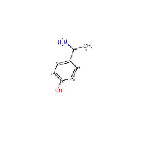 CC(N)c1ccc(O)cc1